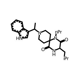 CCCN1C(=O)C(CC(C)C)NC(=O)C12CCN(C(C)c1c[nH]c3ccccc13)CC2